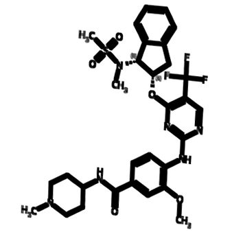 COc1cc(C(=O)NC2CCN(C)CC2)ccc1Nc1ncc(C(F)(F)F)c(O[C@H]2Cc3ccccc3[C@H]2N(C)S(C)(=O)=O)n1